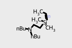 C/C=C\[Si](C)(C)CCN(CCCC)CCCC